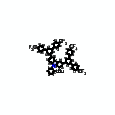 CC(C)(C)c1ccccc1-n1c2ccc(-c3cc(-c4ccc(C(F)(F)F)cc4)cc(-c4ccc(C(F)(F)F)cc4)c3)cc2c2cc(-c3cc(-c4ccc(C(F)(F)F)cc4)cc(-c4ccc(C(F)(F)F)cc4)c3)ccc21